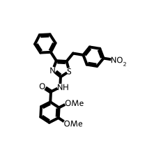 COc1cccc(C(=O)Nc2nc(-c3ccccc3)c(Cc3ccc([N+](=O)[O-])cc3)s2)c1OC